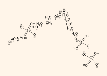 O.O.O.O.O.O.O.O.O.O.O.O.O=S(=O)([O-])[O-].O=S(=O)([O-])[O-].O=S(=O)([O-])[O-].[Al+3].[Al+3].[KH]